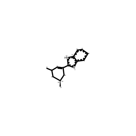 CC1C=C(c2nc3ccccc3[nH]2)C[C@@H](C)C1